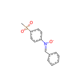 CS(=O)(=O)c1ccc([N+]([O-])=Cc2ccccc2)cc1